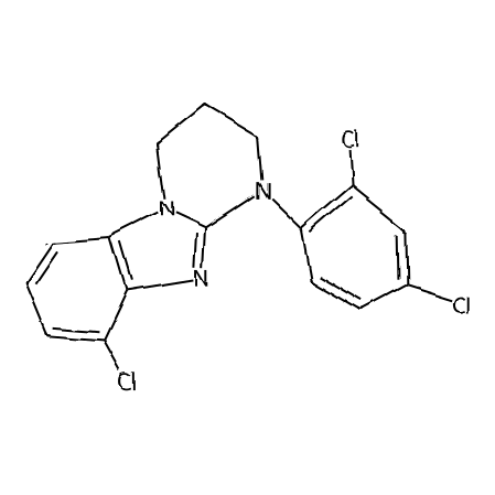 Clc1ccc(N2CCCn3c2nc2c(Cl)cc[c]c23)c(Cl)c1